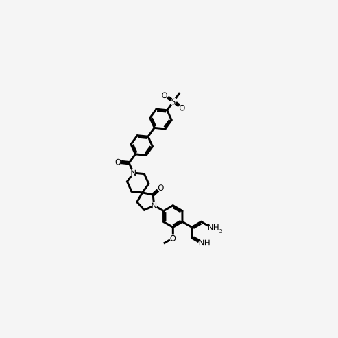 COc1cc(N2CCC3(CCN(C(=O)c4ccc(-c5ccc(S(C)(=O)=O)cc5)cc4)CC3)C2=O)ccc1/C(C=N)=C/N